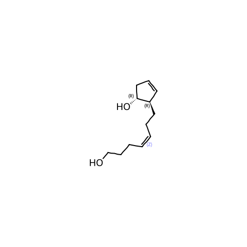 OCCC/C=C\CC[C@@H]1C=CC[C@H]1O